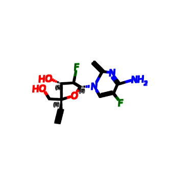 C#C[C@]1(CO)O[C@@H](N2C=C(F)C(N)=NC2=C)C(F)[C@H]1O